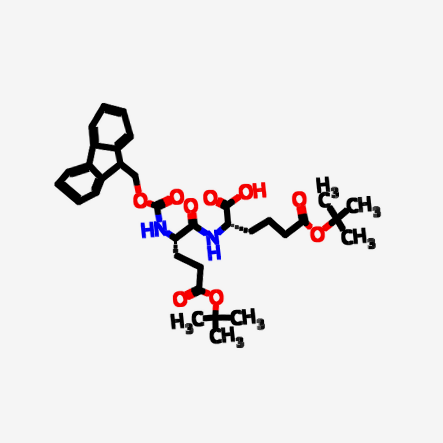 CC(C)(C)OC(=O)CCC[C@H](NC(=O)[C@H](CCC(=O)OC(C)(C)C)NC(=O)OCC1c2ccccc2-c2ccccc21)C(=O)O